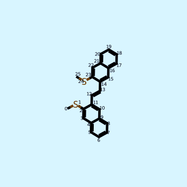 CSc1cc2ccccc2cc1C=Cc1cc2ccccc2cc1SC